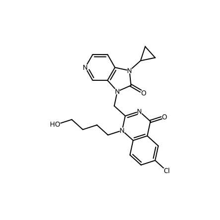 O=c1nc(Cn2c(=O)n(C3CC3)c3ccncc32)n(CCCCO)c2ccc(Cl)cc12